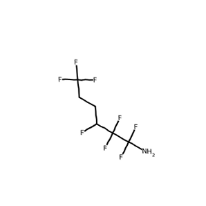 NC(F)(F)C(F)(F)C(F)CCC(F)(F)F